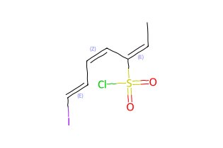 C\C=C(/C=C\C=C\I)S(=O)(=O)Cl